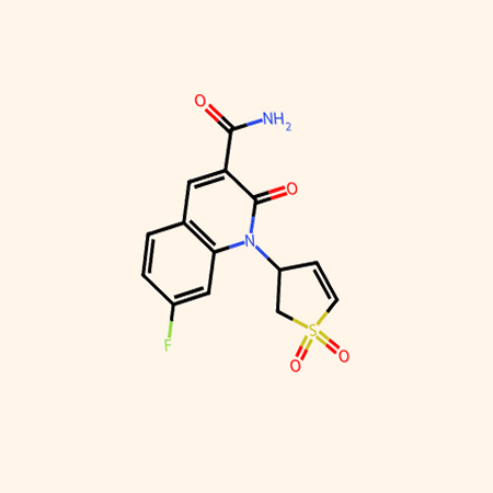 NC(=O)c1cc2ccc(F)cc2n(C2C=CS(=O)(=O)C2)c1=O